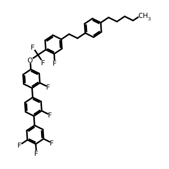 CCCCCc1ccc(CCc2ccc(C(F)(F)Oc3ccc(-c4ccc(-c5cc(F)c(F)c(F)c5)c(F)c4)c(F)c3)c(F)c2)cc1